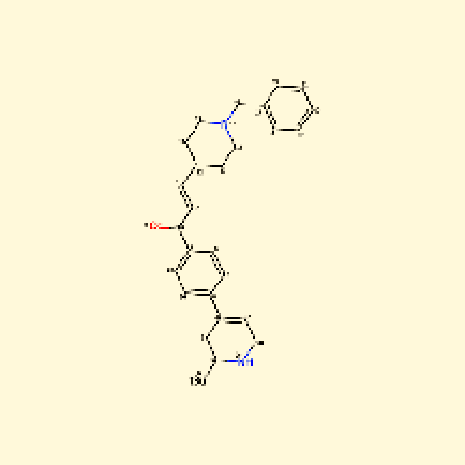 CC(C)(C)C1CC(c2ccc(C(=O)C=CC3CCN(Cc4ccccc4)CC3)cc2)=CCN1